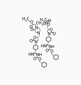 CCOC(=O)C(C)N1CCN(CC2CN(c3ccc(C(=N)NC(=O)OCc4ccccc4)cc3)C(=O)O2)CC1=O.CS(=O)(=O)OCC1CN(c2ccc(C(=N)NC(=O)OCc3ccccc3)cc2)C(=O)O1